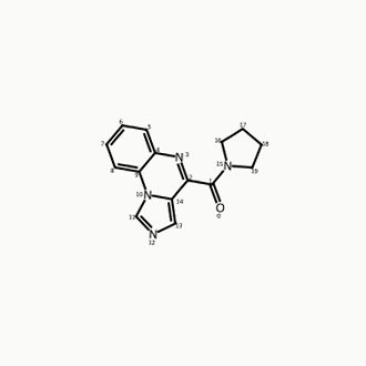 O=C(c1nc2ccccc2n2cncc12)N1CCCC1